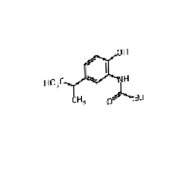 CC(C(=O)O)c1ccc(O)c(NC(=O)C(C)(C)C)c1